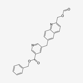 O=COCc1ccc2cc(Cc3cncc(C(=O)OCc4ccccc4)c3)ccc2n1